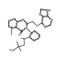 Cc1cccc2nc(CSc3ncnc4[nH]cnc34)n(-c3ccccc3N(C)CC(C)(C)N)c(=O)c12